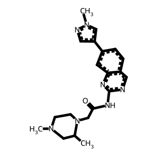 CC1CN(C)CCN1CC(=O)Nc1ncc2ccc(-c3cnn(C)c3)cc2n1